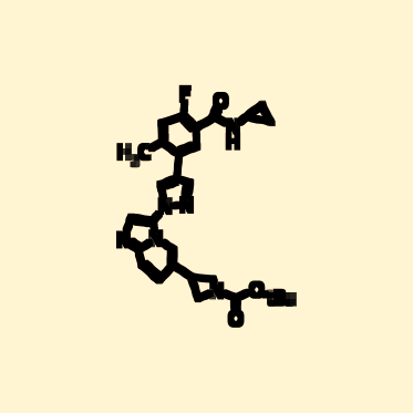 Cc1cc(F)c(C(=O)NC2CC2)cc1-c1cnn(-c2cnc3ccc(C4CN(C(=O)OC(C)(C)C)C4)cn23)c1